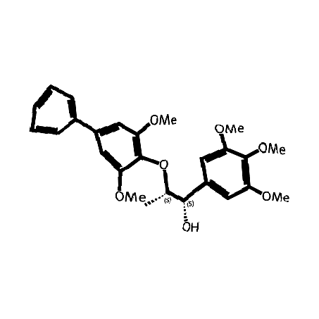 COc1cc([C@H](O)[C@H](C)Oc2c(OC)cc(-c3ccccc3)cc2OC)cc(OC)c1OC